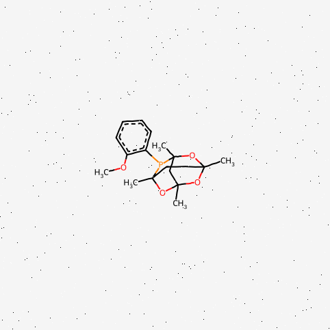 COc1ccccc1P1C2(C)CC3(C)OC(C)(CC1(C)O3)O2